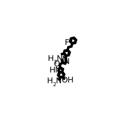 Cc1cc(CCc2ccccc2F)ccc1-n1ncc(C(=O)c2cc3cc(O)c(N)cc3[nH]2)c1N